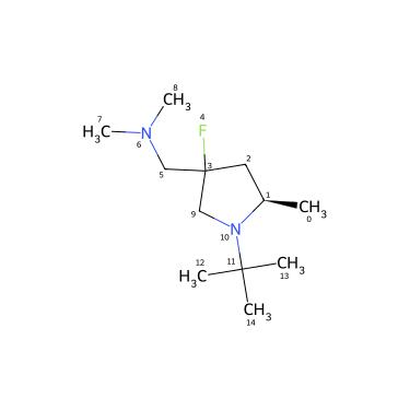 C[C@@H]1CC(F)(CN(C)C)CN1C(C)(C)C